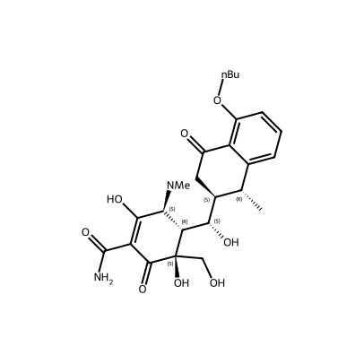 CCCCOc1cccc2c1C(=O)C[C@H]([C@H](O)[C@H]1[C@H](NC)C(O)=C(C(N)=O)C(=O)[C@@]1(O)CO)[C@H]2C